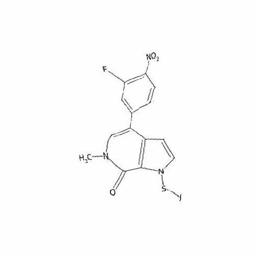 Cn1cc(-c2ccc([N+](=O)[O-])c(F)c2)c2ccn(SI)c2c1=O